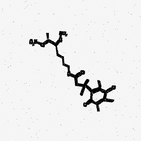 CC1=C(C)C(=O)C(C(C)(C)CC(=O)OCCCC[C@H](O[N+](=O)[O-])[C@@H](C)O[N+](=O)[O-])=C(C)C1=O